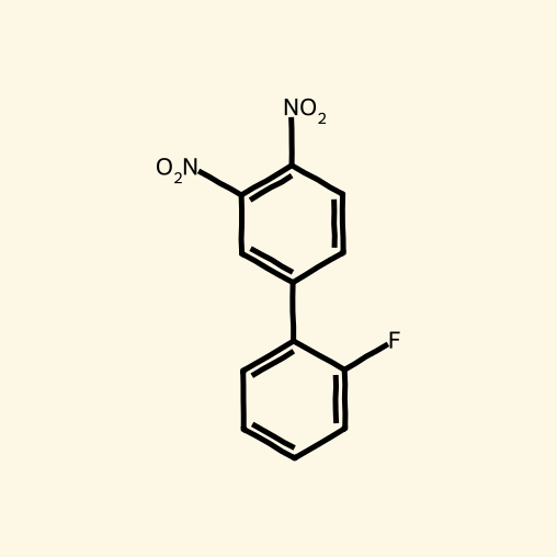 O=[N+]([O-])c1ccc(-c2ccccc2F)cc1[N+](=O)[O-]